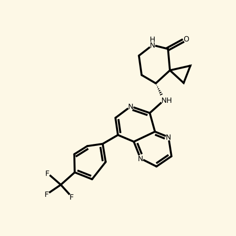 O=C1NCC[C@@H](Nc2ncc(-c3ccc(C(F)(F)F)cc3)c3nccnc23)C12CC2